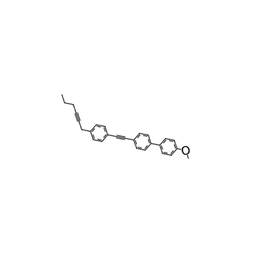 CCCC#CCc1ccc(C#Cc2ccc(-c3ccc(OC)cc3)cc2)cc1